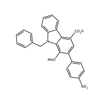 COc1c(-c2ccc([N+](=O)[O-])cc2)cc(C(=O)O)c2c3ccccc3n(Cc3ccccc3)c12